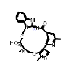 Cc1cc2cc(n1)-c1cnn(C)c1OC[C@@H](C)[C@@H](O)CCN1/C(=N/C2=O)Nc2ccccc21